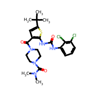 CN(C)C(=O)N1CCN(C(=O)c2cc(C(C)(C)C)sc2NC(=O)Nc2cccc(Cl)c2Cl)CC1